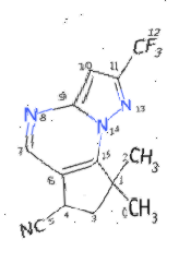 CC1(C)CC(C#N)c2cnc3cc(C(F)(F)F)nn3c21